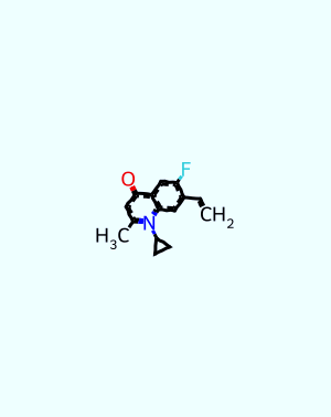 C=Cc1cc2c(cc1F)c(=O)cc(C)n2C1CC1